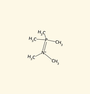 C[N+](C)=P(C)(C)C